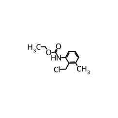 CCOC(=O)Nc1cccc(C)c1CCl